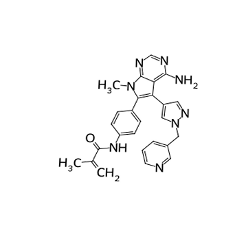 C=C(C)C(=O)Nc1ccc(-c2c(-c3cnn(Cc4cccnc4)c3)c3c(N)ncnc3n2C)cc1